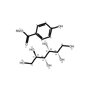 COC(=O)c1ccc(O)cc1.OC[C@@H](O)[C@@H](O)[C@H](O)[C@@H](O)CO